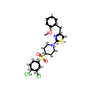 COc1ccccc1Cc1csc(N2CCC(S(=O)(=O)c3ccc(Cl)c(Cl)c3)CC2)n1